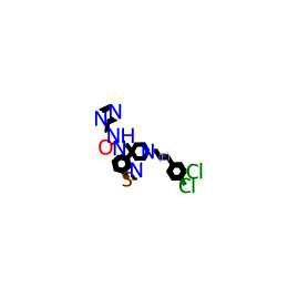 O=C(NCc1cnccn1)N1CC2(CCN(C/C=C/c3ccc(Cl)c(Cl)c3)CC2)c2c1ccc1scnc21